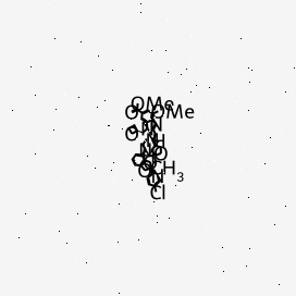 COC(=O)c1cc(OC)c2nc(CN3CCN(c4cccc5c4O[C@](C)(c4ccc(Cl)cn4)O5)[C@H]4COC[C@H]43)n(C[C@@H]3CCO3)c2c1